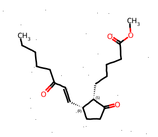 CCCCCC(=O)C=C[C@H]1CCC(=O)[C@H]1CCCCC(=O)OC